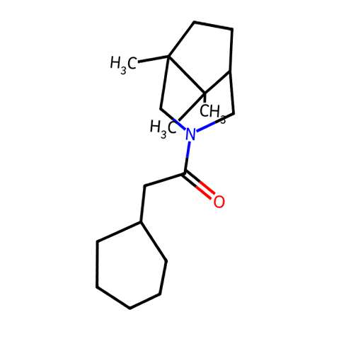 CC12CCC(CN(C(=O)CC3CCCCC3)C1)C2(C)C